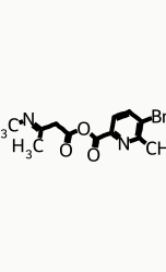 C/N=C(\C)CC(=O)OC(=O)c1ccc(Br)c(C)n1